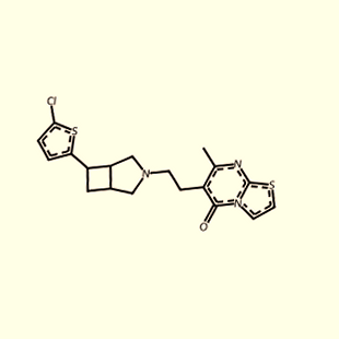 Cc1nc2sccn2c(=O)c1CCN1CC2CC(c3ccc(Cl)s3)C2C1